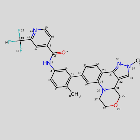 Cc1ccc(NC(=O)c2ccnc(C(F)(F)F)c2)cc1-c1ccc2c(c1)N1CCOCC1c1cn(C)nc1-2